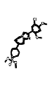 COc1cc(OC)c(-c2cn3ccc(C4=CCN(P(=O)(OC)OC)CC4)cc3n2)cc1Cl